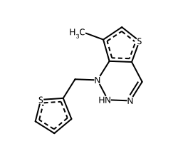 Cc1csc2c1N(Cc1cccs1)NN=C2